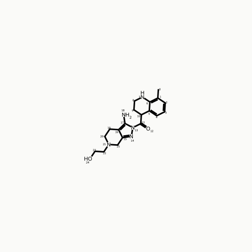 Cc1cccc2c1NCCC2C(=O)n1nc2c(c1N)CCN(CCO)C2